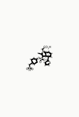 Cc1c(S(=O)(=O)Oc2ccc(C[SH](=O)=O)cc2)c2c(-c3cccs3)cccc2n1CC(=O)O